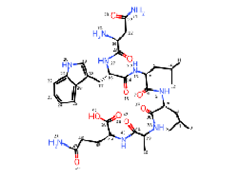 CC(C)C[C@H](NC(=O)[C@H](CC(C)C)NC(=O)[C@H](Cc1c[nH]c2ccccc12)NC(=O)[C@@H](N)CC(N)=O)C(=O)N[C@@H](C)C(=O)N[C@@H](CCC(N)=O)C(=O)O